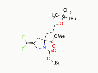 COC(=O)C1(CCCO[Si](C)(C)C(C)(C)C)CC(=C(F)F)CN1C(=O)OC(C)(C)C